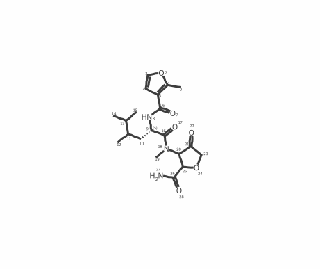 Cc1occc1C(=O)N[C@@H](CC(C)C(C)C)C(=O)N(C)C1C(=O)COC1C(N)=O